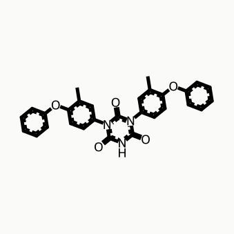 Cc1cc(-n2c(=O)[nH]c(=O)n(-c3ccc(Oc4ccccc4)c(C)c3)c2=O)ccc1Oc1ccccc1